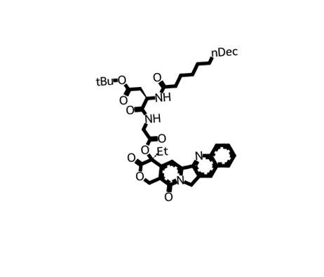 CCCCCCCCCCCCCCCC(=O)N[C@H](CC(=O)OC(C)(C)C)C(=O)NCC(=O)O[C@]1(CC)C(=O)OCc2c1cc1n(c2=O)Cc2cc3ccccc3nc2-1